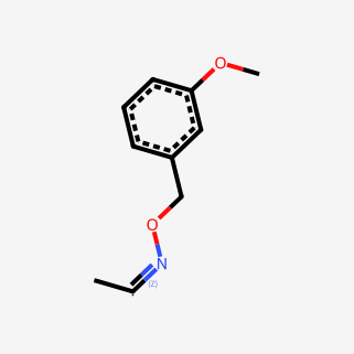 C/[C]=N\OCc1cccc(OC)c1